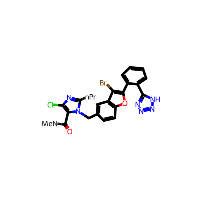 CCCc1nc(Cl)c(C(=O)NC)n1Cc1ccc2oc(-c3ccccc3-c3nnn[nH]3)c(Br)c2c1